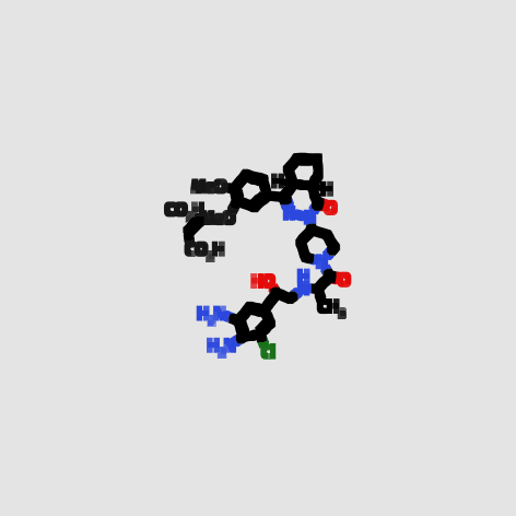 COc1ccc(C2=NN(C3CCN(C(=O)C(C)NCC(O)c4cc(N)c(N)c(Cl)c4)CC3)C(=O)[C@@H]3CC=CC[C@H]23)cc1OC.O=C(O)C=CC(=O)O